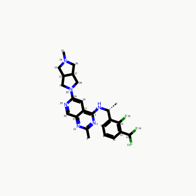 Cc1nc(N[C@H](C)c2cccc(C(F)F)c2F)c2cc(N3CC4CN(C)CC4C3)ncc2n1